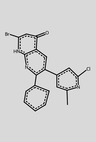 Cc1cc(-c2cc3c(=O)cc(Br)[nH]c3nc2-c2ccccc2)cc(Cl)n1